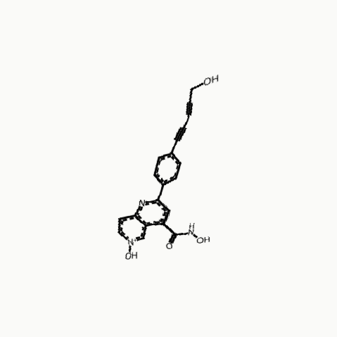 O=C(NO)c1cc(-c2ccc(C#CC#CCO)cc2)nc2cc[n+](O)cc12